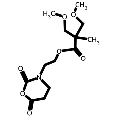 COCC(C)(COC)C(=O)OCCN1CCC(=O)OC1=O